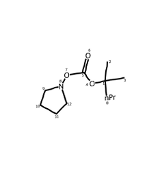 CCCC(C)(C)OC(=O)ON1CCCC1